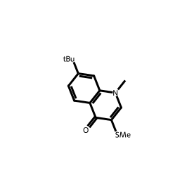 CSc1cn(C)c2cc(C(C)(C)C)ccc2c1=O